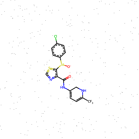 O=C(NC1=CC=C(C(F)(F)F)NC1)c1ncsc1[S+]([O-])c1ccc(Cl)cc1